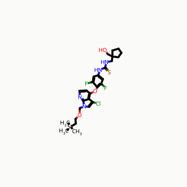 C[Si](C)(C)CCOCn1cc(Cl)c2c(Oc3c(F)cc(NC(=S)NCC4(CO)CCCC4)cc3F)ccnc21